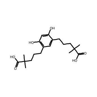 CC(C)(CCCc1cc(CCCC(C)(C)C(=O)O)c(O)cc1O)C(=O)O